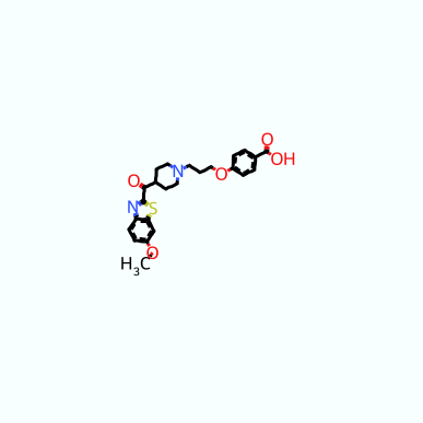 COc1ccc2nc(C(=O)C3CCN(CCCOc4ccc(C(=O)O)cc4)CC3)sc2c1